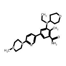 CCN(c1cc(-c2ccc(N3CCN(C)CC3)nc2)cc(C(N)=O)c1C)C1CCOCC1